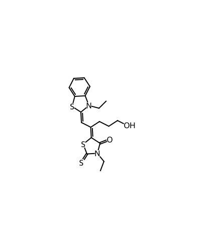 CCN1C(=O)C(=C(C=C2Sc3ccccc3N2CC)CCCO)SC1=S